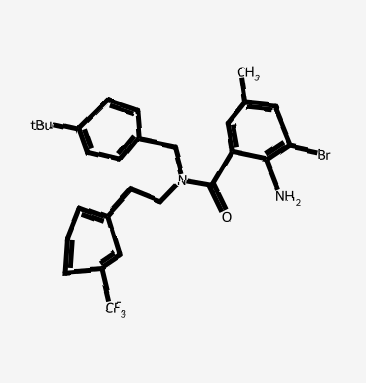 Cc1cc(Br)c(N)c(C(=O)N(CCc2cccc(C(F)(F)F)c2)Cc2ccc(C(C)(C)C)cc2)c1